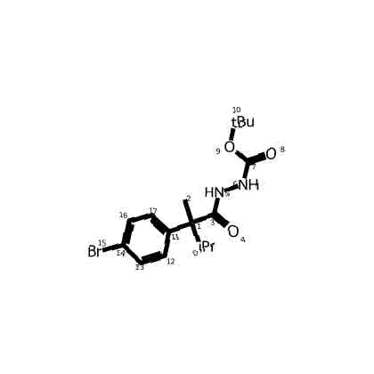 CC(C)C(C)(C(=O)NNC(=O)OC(C)(C)C)c1ccc(Br)cc1